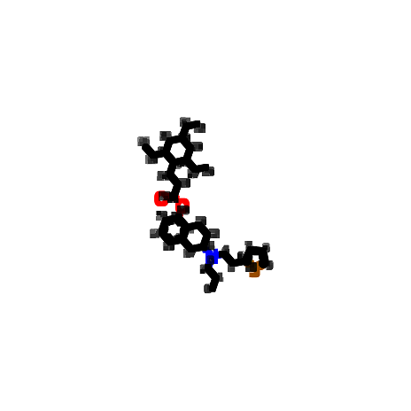 CCCN(CCc1cccs1)C1CCc2c(cccc2OC(=O)CCC2C(CC)CC(CC)CC2CC)C1